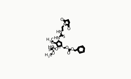 COC1[C@@H](OP(O)(=S)OC)[C@@H](COC(=O)OCc2ccccc2)C[C@H]1NC(=S)NCCN1C(=O)C=CC1=O